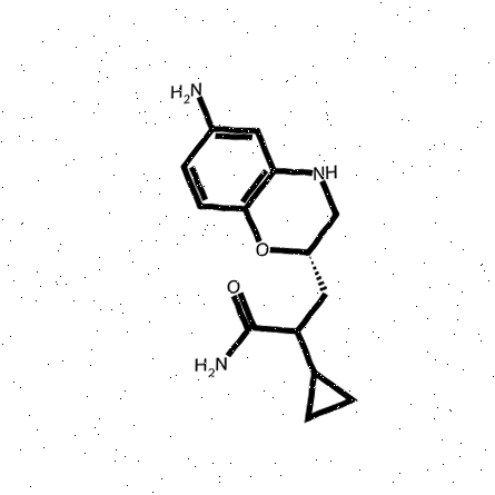 NC(=O)C(C[C@H]1CNc2cc(N)ccc2O1)C1CC1